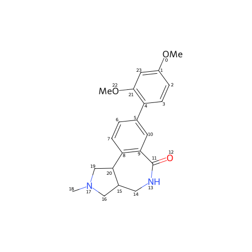 COc1ccc(-c2ccc3c(c2)C(=O)NCC2CN(C)CC32)c(OC)c1